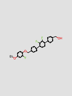 CCOc1ccc(OCc2ccc(-c3ccc(-c4ccc(CO)cc4)c(F)c3F)cc2)c(F)c1